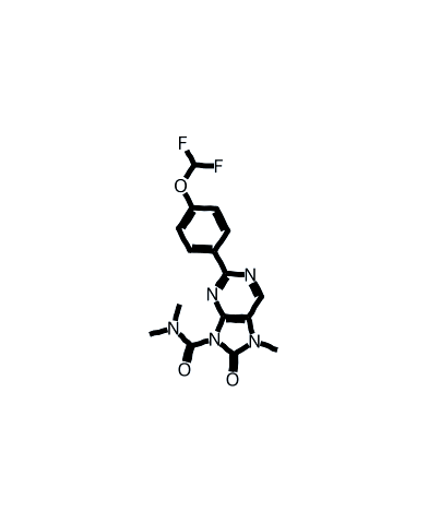 CN(C)C(=O)n1c(=O)n(C)c2cnc(-c3ccc(OC(F)F)cc3)nc21